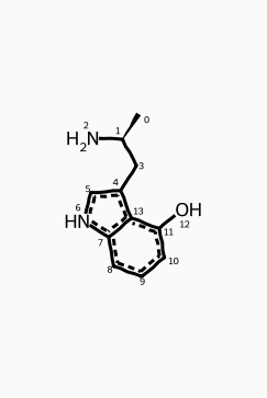 C[C@H](N)Cc1c[nH]c2cccc(O)c12